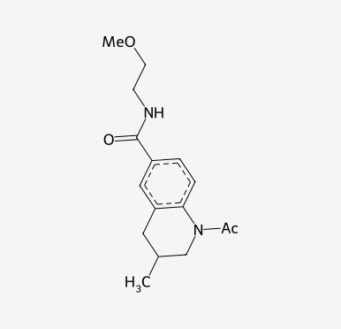 COCCNC(=O)c1ccc2c(c1)CC(C)CN2C(C)=O